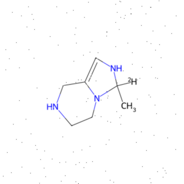 [2H]C1(C)NC=C2CNCCN21